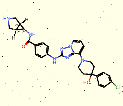 O=C(N[C@H]1[C@@H]2CNC[C@@H]21)c1ccc(Nc2nc3c(N4CCC(O)(c5ccc(Cl)cc5)CC4)cccn3n2)cc1